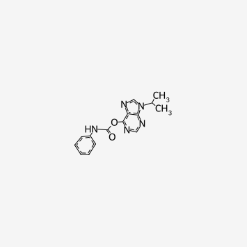 CC(C)n1cnc2c(OC(=O)Nc3ccccc3)ncnc21